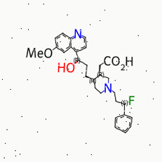 COc1ccc2nccc([C@H](O)CC[C@@H]3CCN(CC[C@H](F)c4ccccc4)C[C@@H]3CC(=O)O)c2c1